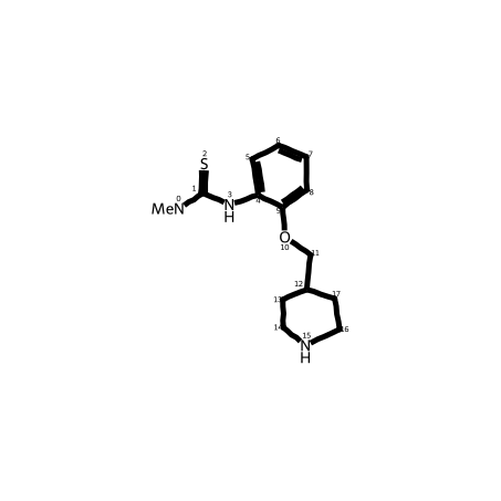 CNC(=S)Nc1ccccc1OCC1CCNCC1